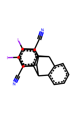 N#Cc1c(I)ccc2c1C1c3ccccc3C2c2c1ccc(I)c2C#N